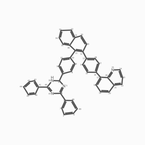 c1ccc(C2=NC(c3ccc(-c4c(-c5ccc(-c6cccc7cccnc67)cc5)ccc5ccccc45)cc3)NC(c3ccccc3)=N2)cc1